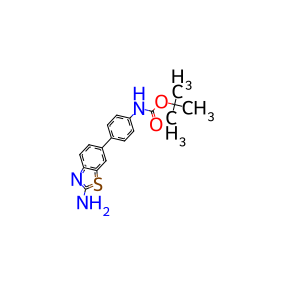 CC(C)(C)OC(=O)Nc1ccc(-c2ccc3nc(N)sc3c2)cc1